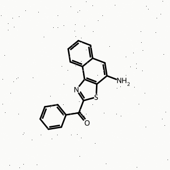 Nc1cc2ccccc2c2nc(C(=O)c3ccccc3)sc12